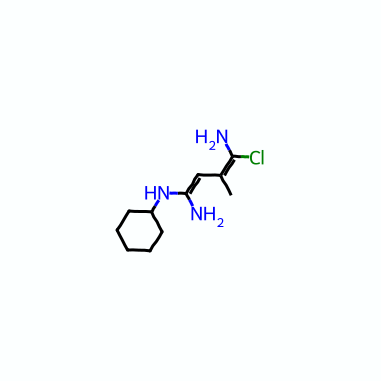 CC(/C=C(\N)NC1CCCCC1)=C(/N)Cl